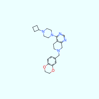 c1nc2c(c(N3CCN(C4CCC4)CC3)n1)CCN(Cc1ccc3c(c1)OCCO3)C2